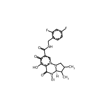 CCN1C(=O)c2c(O)c(=O)c(C(=O)NCc3ccc(F)cc3F)cn2N2CC(C)C(C)[C@@H]12